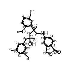 COc1ccc(F)cc1C(C)(CNc1ccc2c(c1)COC2=O)CC(C)(O)Cc1cc(C)cc(C)c1